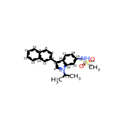 CC(C)n1cc(-c2ccc3ccccc3c2)c2ccc(NS(C)(=O)=O)cc21